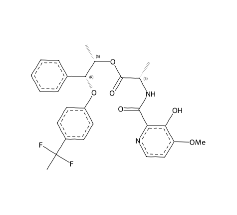 COc1ccnc(C(=O)N[C@@H](C)C(=O)O[C@@H](C)[C@H](Oc2ccc(C(C)(F)F)cc2)c2ccccc2)c1O